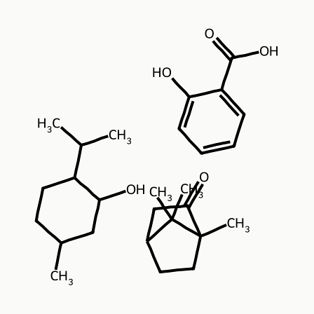 CC12CCC(CC1=O)C2(C)C.CC1CCC(C(C)C)C(O)C1.O=C(O)c1ccccc1O